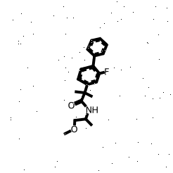 COCC(C)NC(=O)C(C)(C)c1ccc(-c2ccccc2)c(F)c1